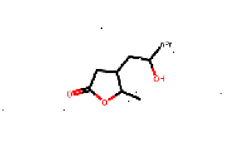 CCCC(O)CC1CC(=O)OC1C